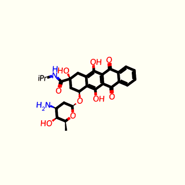 CC(C)NC(=O)[C@]1(O)Cc2c(O)c3c(c(O)c2[C@@H](O[C@H]2C[C@H](N)[C@H](O)[C@H](C)O2)C1)C(=O)c1ccccc1C3=O